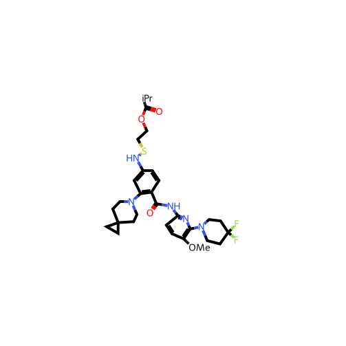 COc1ccc(NC(=O)c2ccc(NSCCOC(=O)C(C)C)cc2N2CCC3(CC2)CC3)nc1N1CCC(F)(F)CC1